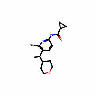 CC(c1ccc(NC(=O)C2CC2)nc1C#N)C1CCOCC1